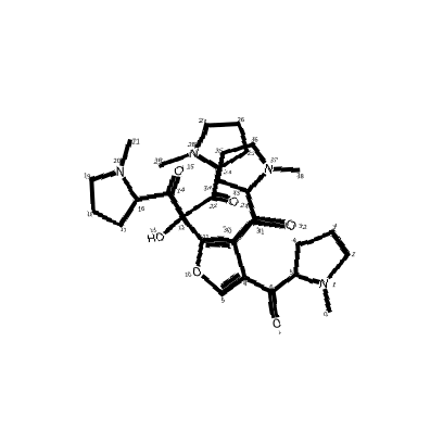 CN1CCCC1C(=O)c1coc(C(O)(C(=O)C2CCCN2C)C(=O)C2CCCN2C)c1C(=O)C1CCCN1C